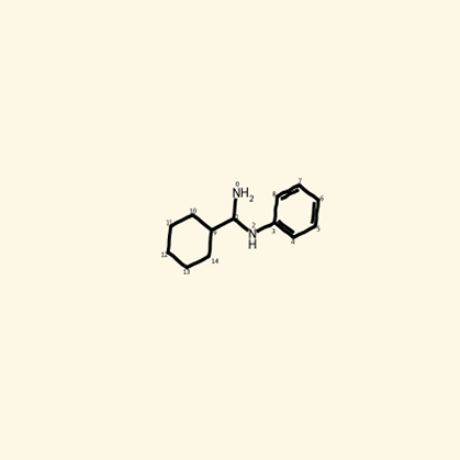 NC(Nc1ccccc1)C1CCCCC1